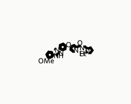 CCN1CCCC1CNC(=O)c1cc(Oc2ccc3c(c2)nc(Nc2ccccc2OC)n3C)ccn1